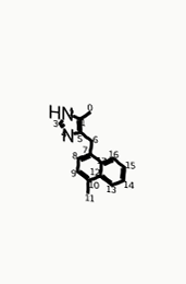 Cc1[nH]cnc1Cc1ccc(C)c2ccccc12